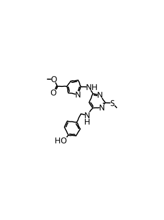 COC(=O)c1ccc(Nc2cc(NCc3ccc(O)cc3)nc(SC)n2)nc1